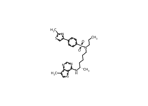 CCCN(CCCC[C@H](C)Nc1ncnc2c(C)csc12)S(=O)(=O)c1ccc(-c2csc(C)n2)cc1